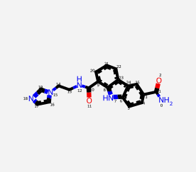 NC(=O)c1ccc2[nH]c3c(C(=O)NCCn4ccnc4)cccc3c2c1